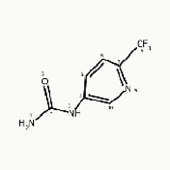 NC(=O)Nc1ccc(C(F)(F)F)nc1